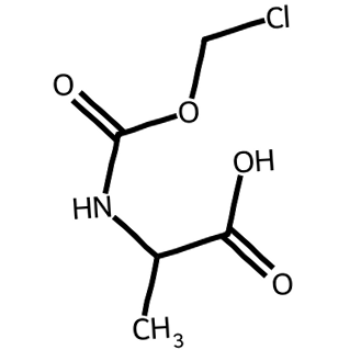 CC(NC(=O)OCCl)C(=O)O